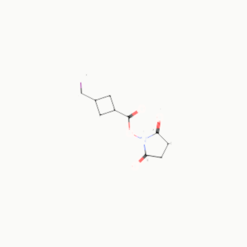 O=C(ON1C(=O)CCC1=O)C1CC(CI)C1